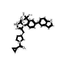 O=C(C1CC1)N1CC[C@@H](Cc2n[nH]c(=O)n2-c2ccc(-c3ccc4occc4c3)cc2C(F)(F)F)C1